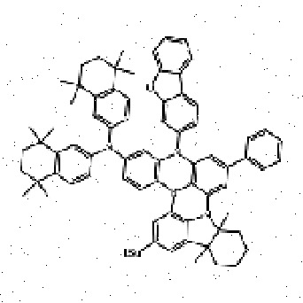 CC(C)(C)c1cc2c3c(c1)C1(C)CCCCC1(C)N3c1cc(-c3ccccc3)cc3c1B2c1ccc(N(c2ccc4c(c2)C(C)(C)CCC4(C)C)c2ccc4c(c2)C(C)(C)CCC4(C)C)cc1N3c1ccc2c(c1)oc1ccccc12